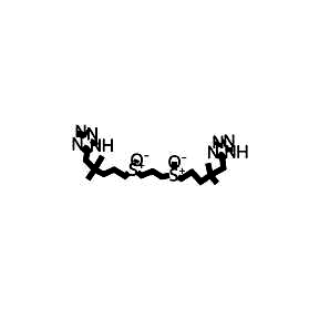 CC(C)(CCC[S+]([O-])CCC[S+]([O-])CCCC(C)(C)Cc1nnn[nH]1)Cc1nnn[nH]1